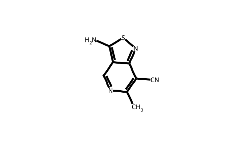 Cc1ncc2c(N)snc2c1C#N